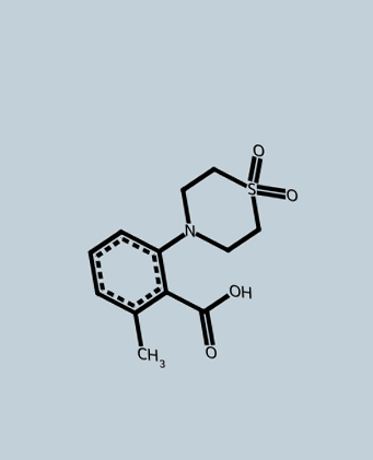 Cc1cccc(N2CCS(=O)(=O)CC2)c1C(=O)O